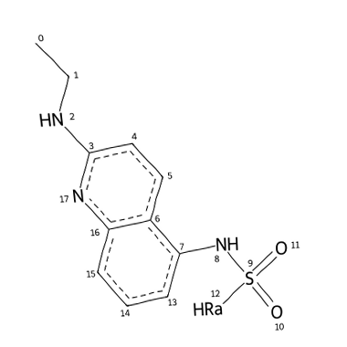 CCNc1ccc2c(N[S](=O)(=O)[RaH])cccc2n1